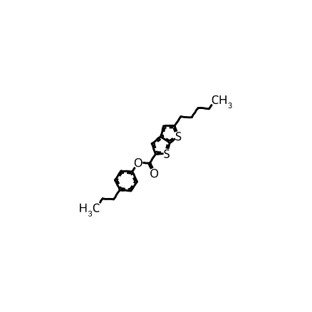 CCCCCc1cc2cc(C(=O)Oc3ccc(CCC)cc3)sc2s1